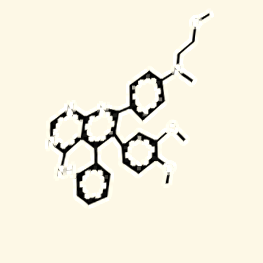 COCCN(C)c1ccc(-c2nc3ncnc(N)c3c(-c3ccccc3)c2-c2ccc(OC)c(OC)c2)cc1